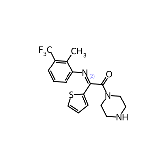 Cc1c(/N=C(/C(=O)N2CCNCC2)c2cccs2)cccc1C(F)(F)F